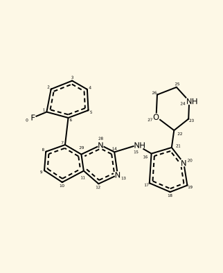 Fc1ccccc1-c1cccc2cnc(Nc3cccnc3C3CNCCO3)nc12